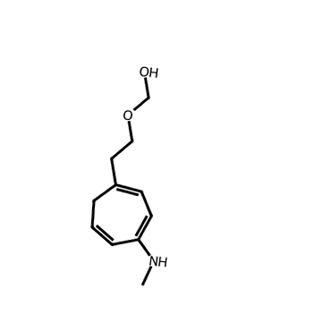 CNC1=CC=C(CCOCO)CC=C1